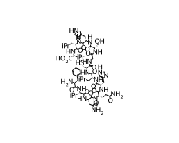 CC(C)C[C@H](NC(=O)[C@H](Cc1c[nH]cn1)NC(=O)[C@H](CCC(N)=O)NC(=O)[C@H](CC(N)=O)NC(=O)[C@@H](NC(=O)[C@@H](N)Cc1ccccc1)C(C)C)C(=O)N[C@@H](CS)C(=O)NCC(=O)N[C@@H](CO)C(=O)N[C@@H](Cc1c[nH]cn1)C(=O)N[C@@H](CC(C)C)C(=O)N[C@H](C(=O)O)C(C)C